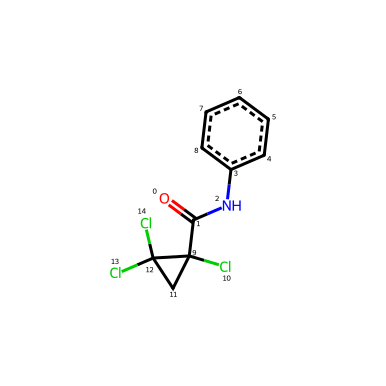 O=C(Nc1ccccc1)C1(Cl)CC1(Cl)Cl